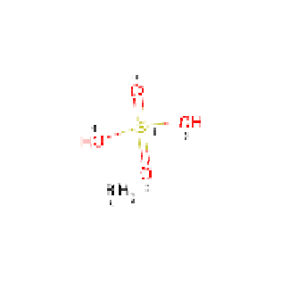 O=S(=O)(O)O.[BiH3]